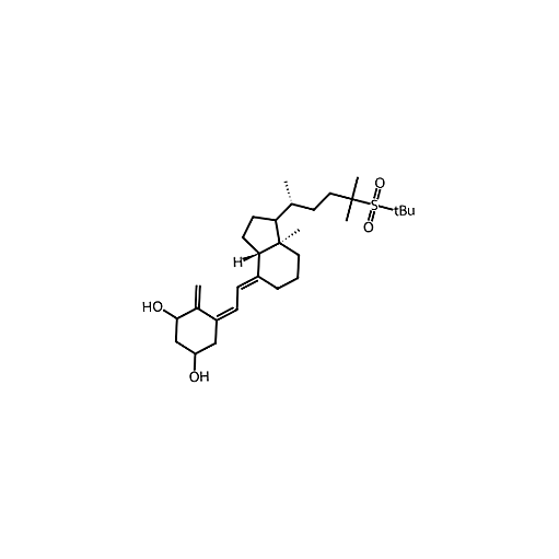 C=C1/C(=C\C=C2/CCC[C@]3(C)C([C@H](C)CCC(C)(C)S(=O)(=O)C(C)(C)C)CC[C@@H]23)CC(O)CC1O